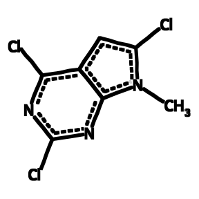 Cn1c(Cl)cc2c(Cl)nc(Cl)nc21